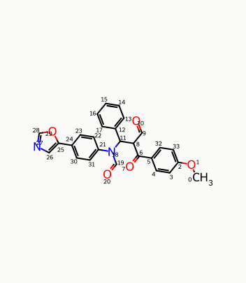 COc1ccc(C(=O)C(C=O)C(c2ccccc2)N(C=O)c2ccc(-c3cnco3)cc2)cc1